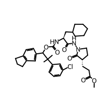 COC(=O)CC[C@H]1CCN(NC(=O)[C@H](CC2CCCCC2)NC(=O)OC(c2ccc3c(c2)CCC3)C(C)(C)c2cccc(Cl)c2)C1=O